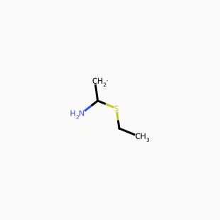 [CH2]C(N)SCC